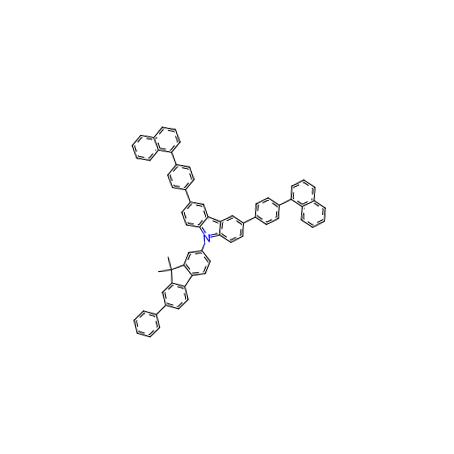 CC1(C)c2cc(-c3ccccc3)ccc2-c2ccc(-n3c4ccc(-c5ccc(-c6cccc7ccccc67)cc5)cc4c4cc(-c5ccc(-c6cccc7ccccc67)cc5)ccc43)cc21